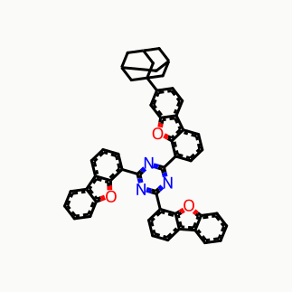 c1ccc2c(c1)oc1c(-c3nc(-c4cccc5c4oc4ccccc45)nc(-c4cccc5c4oc4cc(C67CC8CC(CC(C8)C6)C7)ccc45)n3)cccc12